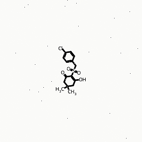 CC1(C)CC(=O)C(S(=O)(=O)Cc2ccc(Cl)cc2)=C(O)C1